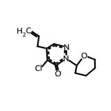 C=CCc1cnn(C2CCCCO2)c(=O)c1Cl